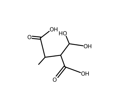 CC(C(=O)O)C(C(=O)O)C(O)O